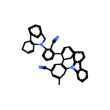 CC1=CC(C#N)=CC(C2CC=CC=C2c2cccc(N3Cc4cccc(c4)C4=C3C=CCC4)c2C#N)=C(n2c3ccccc3c3ccccc32)C1